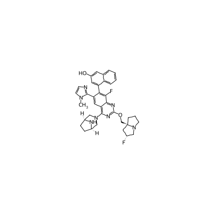 Cn1ccnc1-c1cc2c(N3C[C@H]4CC[C@@H](C3)N4)nc(OC[C@@]34CCCN3C[C@H](F)C4)nc2c(F)c1-c1cc(O)cc2ccccc12